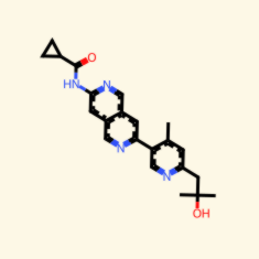 Cc1cc(CC(C)(C)O)ncc1-c1cc2cnc(NC(=O)C3CC3)cc2cn1